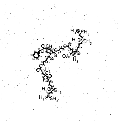 CC(=O)OCC(C)(COC(=O)OCCCOC(=O)OCC(C)(COC(=O)OCCCOC(=O)OCC(C)(COC(C)=O)C(=O)OCCC[N+](C)(C)CCN(C)C)C(=O)OCc1ccccc1)C(=O)OCCC[N+](C)(C)CCN(C)C